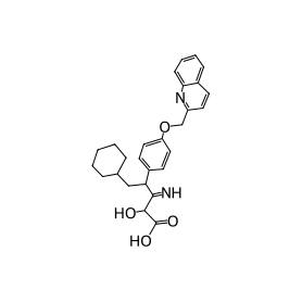 N=C(C(O)C(=O)O)C(CC1CCCCC1)c1ccc(OCc2ccc3ccccc3n2)cc1